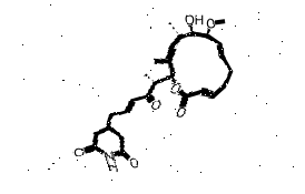 CO[C@H]1/C=C/CC/C=C/C(=O)O[C@@H]([C@@H](C)C(=O)/C=C/CC2CC(=O)NC(=O)C2)/C(C)=C\[C@H](C)[C@H]1O